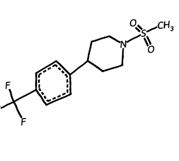 CS(=O)(=O)N1CCC(c2ccc(C(F)(F)F)cc2)CC1